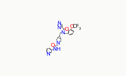 Cn1cnc(C(=O)N(Cc2cccc(OC(F)(F)F)c2)CC2C3CN(CC(=O)Nc4cccnc4)CC32)c1